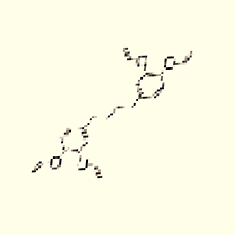 C=COc1ccc(CCCCc2ccc(OC=C)c(OC=C)c2)cc1OC=C